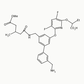 CCC(Oc1nc(Oc2cc(CNC(=O)CC(C)CC(=O)OC)cc(-c3cccc(CN)c3)c2)c(F)cc1F)C(=O)O